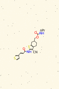 CCCNC(=O)OCC1CCc2c(sc(NC(=O)C=Cc3ccsc3)c2C#N)C1